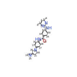 Cc1cc(C)nc(Nc2ccc(C(=O)Nc3ccc(N4CCC(N(C)C)C4)cc3)cc2)n1